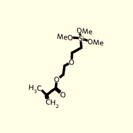 C=C(C)C(=O)OCCOCC[Si](OC)(OC)OC